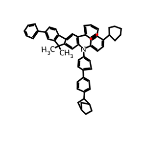 CC1(C)c2cc(-c3ccccc3)ccc2-c2cc(-c3ccccc3)c(N(c3ccc(-c4ccc(C5CC6CCC5C6)cc4)cc3)c3ccc(C4CCCCC4)cc3)cc21